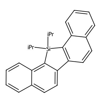 CC(C)[Si]1(C(C)C)c2c(ccc3ccccc23)-c2ccc3ccccc3c21